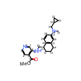 COC(=O)c1ccncc1NC[C@@H]1CCCc2cc(N(C)CC3CC3)ccc21